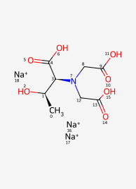 C[C@@H](O)[C@@H](C(=O)O)N(CC(=O)O)CC(=O)O.[Na+].[Na+].[Na+]